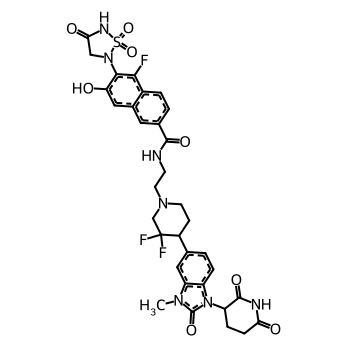 Cn1c(=O)n(C2CCC(=O)NC2=O)c2ccc(C3CCN(CCNC(=O)c4ccc5c(F)c(N6CC(=O)NS6(=O)=O)c(O)cc5c4)CC3(F)F)cc21